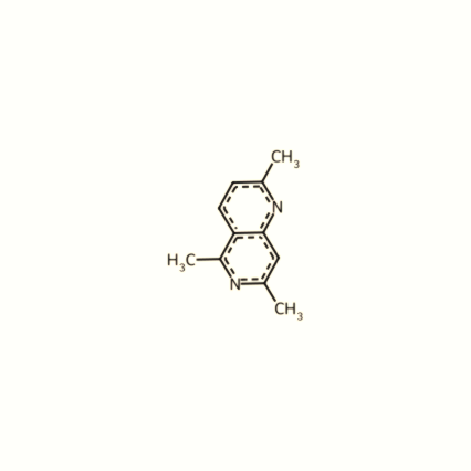 Cc1cc2nc(C)ccc2c(C)n1